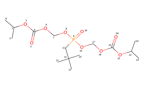 CC(C)OC(=O)OCOP(=O)(CC(C)(C)C)OCOC(=O)OC(C)C